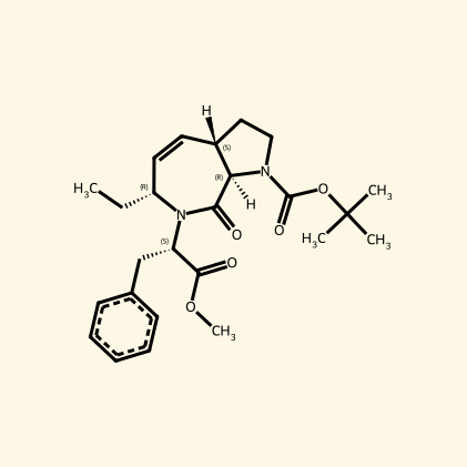 CC[C@@H]1C=C[C@@H]2CCN(C(=O)OC(C)(C)C)[C@H]2C(=O)N1[C@@H](Cc1ccccc1)C(=O)OC